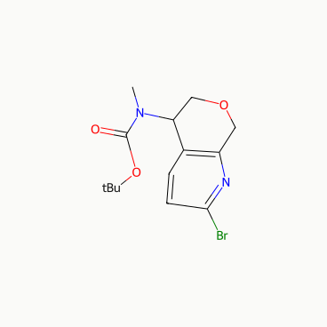 CN(C(=O)OC(C)(C)C)C1COCc2nc(Br)ccc21